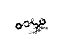 CNC(CCC(=O)N1CCN(c2ccccc2)CC1)(C(=O)NC=O)c1cccnc1